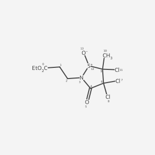 CCOC(=O)CCN1C(=O)C(Cl)(Cl)C(C)(Cl)[S+]1[O-]